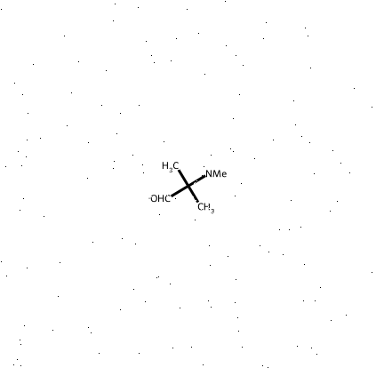 CNC(C)(C)[C]=O